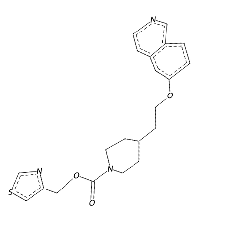 O=C(OCc1cscn1)N1CCC(CCOc2ccc3cnccc3c2)CC1